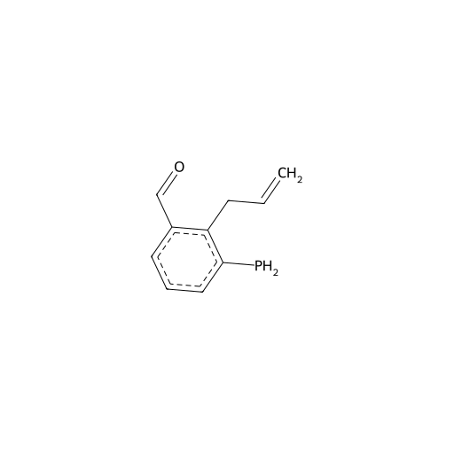 C=CCc1c(P)cccc1C=O